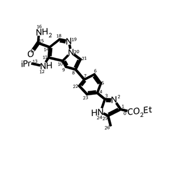 CCOC(=O)c1nc(-c2ccc(-c3cc4c(NC(C)C)c(C(N)=O)cnn4c3)cc2)[nH]c1C